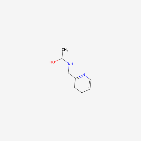 CC(O)NCC1=NC=CCC1